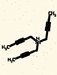 CC#C[CH2][SnH]([CH2]C#CC)[CH2]C#CC